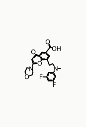 CN(CCc1cc(C(=O)O)cc2c(=O)cc(N3CCOCC3)oc12)c1cc(F)cc(F)c1